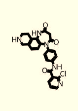 O=C1CC(=O)N(c2ccc(NC(=O)c3cccnc3Cl)cc2)c2ccc3c(c2N1)CCNC3